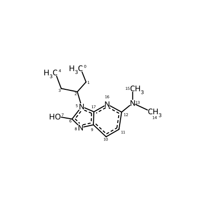 CCC(CC)n1c(O)nc2ccc(N(C)C)nc21